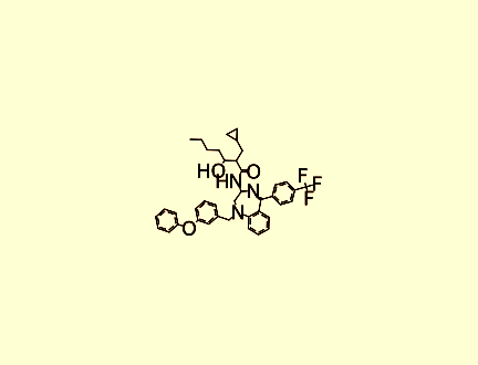 CCCCC(O)C(CC1CC1)C(=O)NC1CN(Cc2cccc(Oc3ccccc3)c2)c2ccccc2C(c2ccc(C(F)(F)F)cc2)=N1